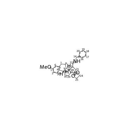 COc1ccc2c(c1)CC[C@H]1[C@@H]3[C@@H](CNCc4ccccc4)CC4(OCCO4)[C@@]3(C)CC[C@H]21